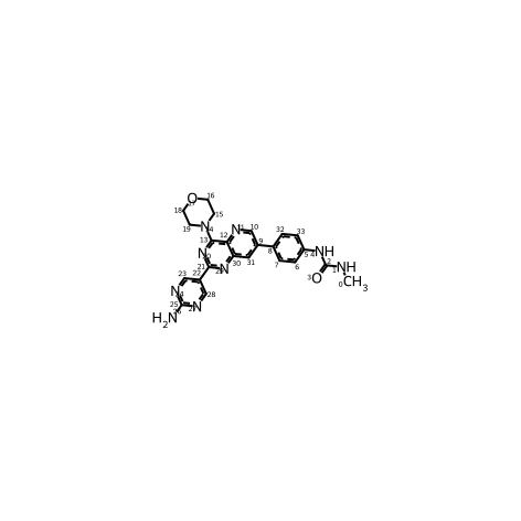 CNC(=O)Nc1ccc(-c2cnc3c(N4CCOCC4)nc(-c4cnc(N)nc4)nc3c2)cc1